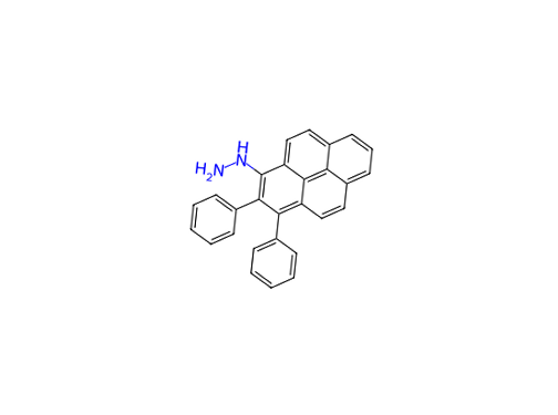 NNc1c(-c2ccccc2)c(-c2ccccc2)c2ccc3cccc4ccc1c2c43